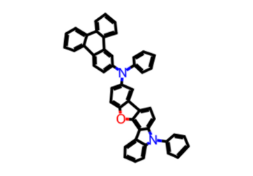 c1ccc(N(c2ccc3oc4c(ccc5c4c4ccccc4n5-c4ccccc4)c3c2)c2ccc3c4ccccc4c4ccccc4c3c2)cc1